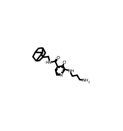 NCCCNc1nccc(C(=O)NCC23CC4CC(CC(C4)C2)C3)c1Cl